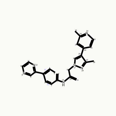 C=C(/C=C\C(=C/C)c1cnccn1)NC(=C)Cn1cc(-c2ccnc(C)c2)c(C)n1